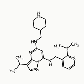 CC(C)c1cnn2c(NCc3cccnc3N(C)C)cc(NCC3CCNCC3)nc12